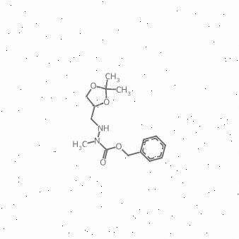 CN(NCC1COC(C)(C)O1)C(=O)OCc1ccccc1